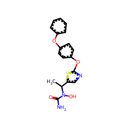 CC(c1cnc(Oc2ccc(Oc3ccccc3)cc2)s1)N(O)C(N)=O